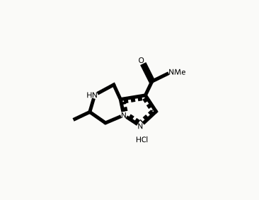 CNC(=O)c1cnn2c1CNC(C)C2.Cl